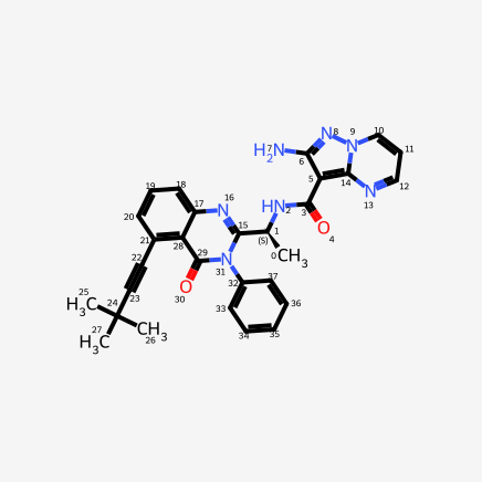 C[C@H](NC(=O)c1c(N)nn2cccnc12)c1nc2cccc(C#CC(C)(C)C)c2c(=O)n1-c1ccccc1